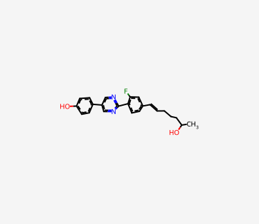 CC(O)CCCC=Cc1ccc(-c2ncc(-c3ccc(O)cc3)cn2)c(F)c1